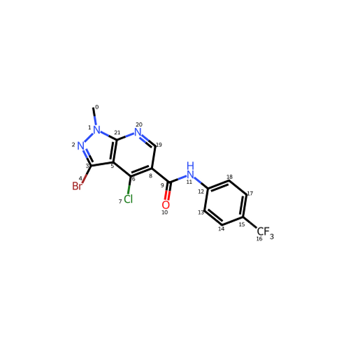 Cn1nc(Br)c2c(Cl)c(C(=O)Nc3ccc(C(F)(F)F)cc3)cnc21